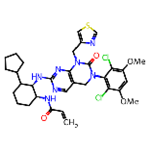 C=CC(=O)N[C@H]1CCCC(C2CCCC2)[C@H]1Nc1ncc2c(n1)N(Cc1cscn1)C(=O)N(c1c(Cl)c(OC)cc(OC)c1Cl)C2